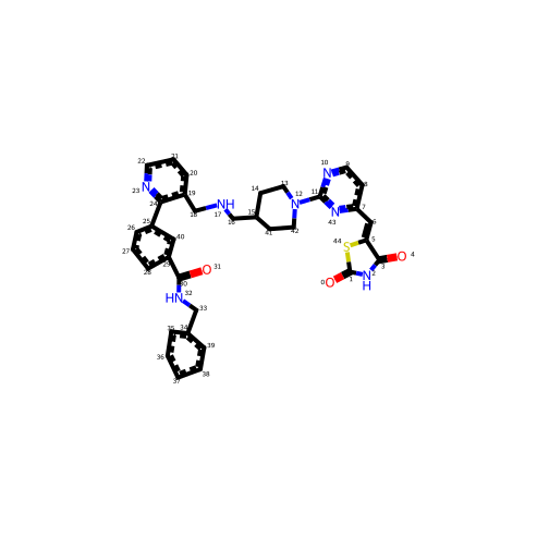 O=C1NC(=O)C(=Cc2ccnc(N3CCC(CNCc4cccnc4-c4cccc(C(=O)NCc5ccccc5)c4)CC3)n2)S1